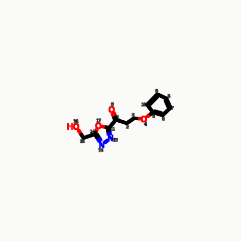 O=C(CCOc1ccccc1)c1nnc(CO)o1